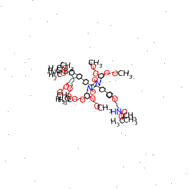 CCOCCOc1cc(CN2C(=O)C3=C(c4ccc(-c5ccc(OCCCCNC(=O)OC(C)(C)C)cc5)cc4)N(Cc4cc(OCCOCC)cc(OCCOCC)c4)C(=O)C3=C2c2ccc(-c3ccc4c(c3)C(CCCOCCOC)(CCCOCCOC)c3cc(B5OC(C)(C)C(C)(C)O5)ccc3-4)cc2)cc(OCCOC)c1